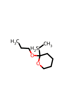 CCCOC1([SiH2]C)CCCCO1